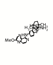 COc1cnc2c(Nc3ccc(F)c([C@@]4(C)N=C(N)[C@@]5(C)CC[C@@H]4S5(=O)=O)c3)nccc2n1